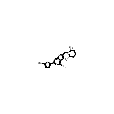 C[C@@H]1CCC[C@H](C)N1Cc1cc2c(N)nc(-c3ccc(C(C)(C)C)s3)nc2s1